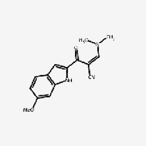 COc1ccc2cc(C(=O)/C(C#N)=C\N(C)C)[nH]c2c1